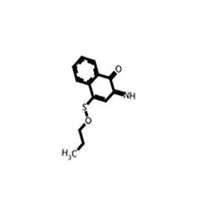 CCCOSC1=CC(=N)C(=O)c2ccccc21